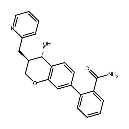 NC(=O)c1ccccc1-c1ccc2c(c1)OC[C@@H](Cc1ccccn1)[C@@H]2O